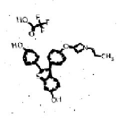 CCCN1CC(Oc2ccc(-c3c(-c4ccc(O)cc4)sc4cc(O)ccc34)cc2)C1.O=C(O)C(F)(F)F